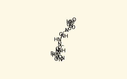 CCc1cc(Nc2ncc(Br)c(Nc3ccc4nccnc4c3P(C)(C)=O)n2)c(OC)cc1N1CCC(NCCNC(=O)CCC2CN(c3ccc4c(c3)C(=O)N(C3CCC(=O)NC3=O)C4=O)C2)CC1